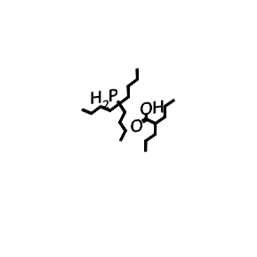 CCCC(CCC)C(=O)O.CCCCC(P)(CCCC)CCCC